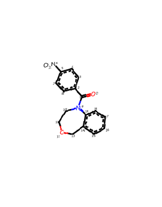 O=C(c1ccc([N+](=O)[O-])cc1)N1CCOCc2ccccc21